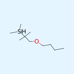 CCCCOCC(C)(C)[SiH](C)C